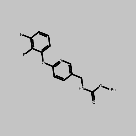 CC(C)(C)OC(=O)NCc1ccc(Oc2cccc(F)c2F)nc1